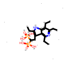 CCc1nc(CC)c2c(CC(P(=O)(O)O)P(=O)(O)O)c(CC)[nH]c2c1CC